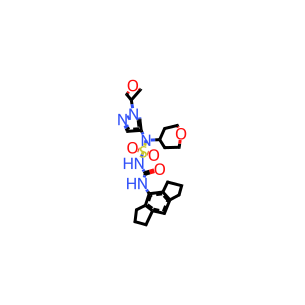 O=C(Nc1c2c(cc3c1CCC3)CCC2)NS(=O)(=O)N(c1cnn(C2COC2)c1)C1CCOCC1